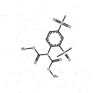 CC(C)(C)OC(=O)N(C(=O)OC(C)(C)C)c1ccc(S(C)(=O)=O)cc1P(C)(C)=O